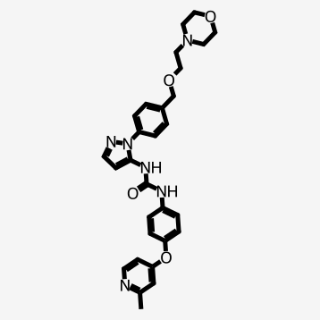 Cc1cc(Oc2ccc(NC(=O)Nc3ccnn3-c3ccc(COCCN4CCOCC4)cc3)cc2)ccn1